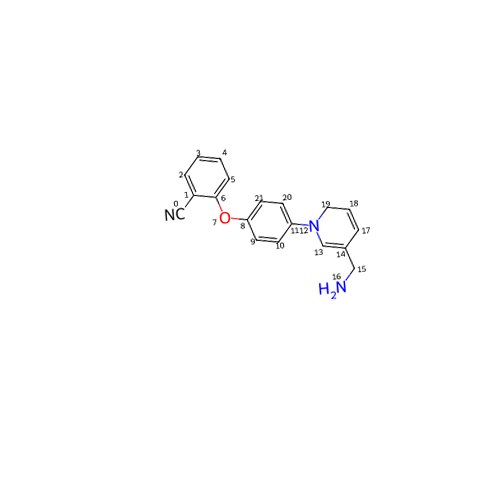 N#Cc1ccccc1Oc1ccc(N2C=C(CN)C=CC2)cc1